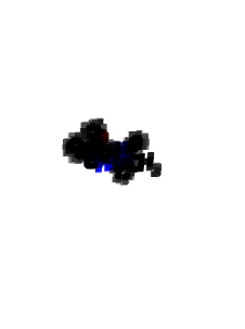 CC1C=CC=CC1C1=NC(c2ccccc2)=NC(c2ccc(C3c4oc5ccccc5c4-c4c(ccc5ccccc45)N3C)cc2)N1